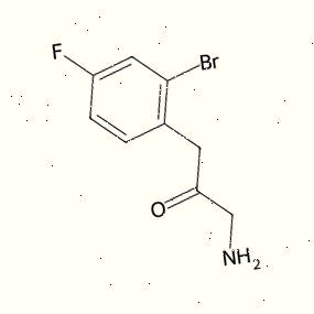 NCC(=O)Cc1ccc(F)cc1Br